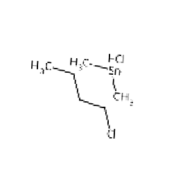 CCCCCl.Cl.[CH3][Sn][CH3]